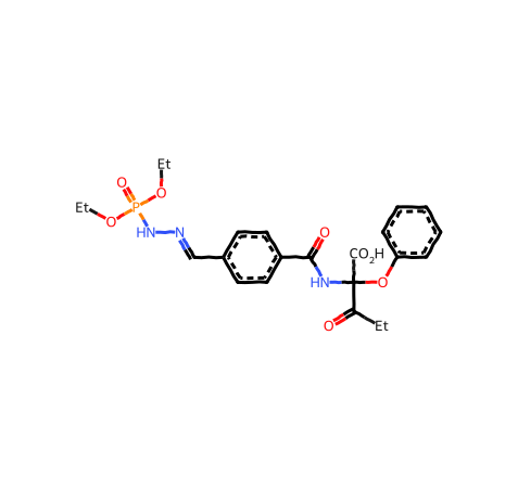 CCOP(=O)(NN=Cc1ccc(C(=O)NC(Oc2ccccc2)(C(=O)O)C(=O)CC)cc1)OCC